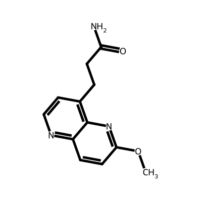 COc1ccc2nccc(CCC(N)=O)c2n1